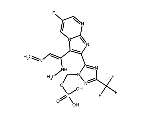 C=N/C=C(\NC)c1c(-c2nc(C(F)(F)F)nn2COP(=O)(O)O)nc2ncc(F)cn12